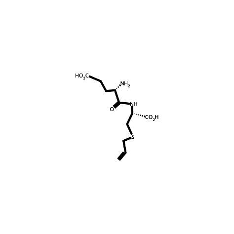 C=CCSC[C@H](NC(=O)[C@@H](N)CCC(=O)O)C(=O)O